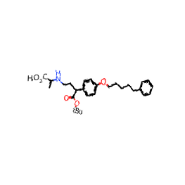 CC(NCCC(C(=O)OC(C)(C)C)c1ccc(OCCCCCc2ccccc2)cc1)C(=O)O